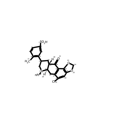 CCCN1CC(c2cc(S(=O)(=O)O)ccc2C)C[C@@H]2C(=O)c3c(c(Cl)cc4c3OCO4)C[C@H]21